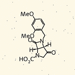 COc1ccc(CN2C(=O)[C@@H]3[C@H]2C(=O)CN3C(=O)O)c(OC)c1